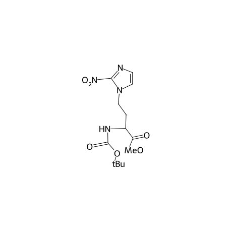 COC(=O)C(CCn1ccnc1[N+](=O)[O-])NC(=O)OC(C)(C)C